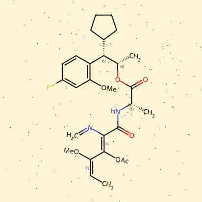 C=N/C(C(=O)N[C@@H](C)C(=O)O[C@@H](C)[C@H](c1ccc(F)cc1OC)C1CCCC1)=C(OC(C)=O)\C(=C/C)OC